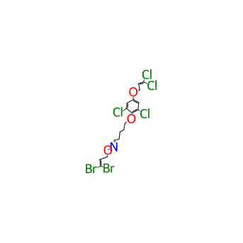 ClC(Cl)=CCOc1cc(Cl)c(OCCCC/C=N/OCC=C(Br)Br)c(Cl)c1